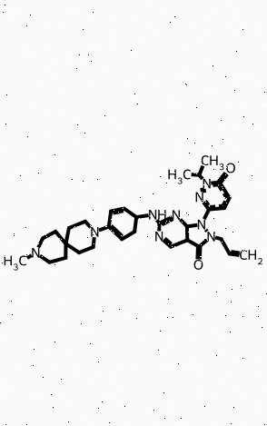 C=CCN1C(=O)C2C=NC(NC3C=CC(N4CCC5(CCN(C)CC5)CC4)=CC3)=NC2N1c1ccc(=O)n(C(C)C)n1